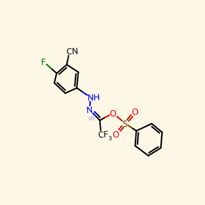 N#Cc1cc(N/N=C(\OS(=O)(=O)c2ccccc2)C(F)(F)F)ccc1F